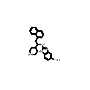 O=C(O)c1ccc2[nH]c(NC(Cc3cccc4ccccc34)C3CCNCC3)nc2c1